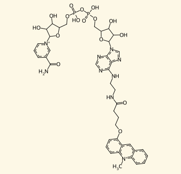 C[n+]1c2ccccc2cc2c(OCCCC(=O)NCCNc3ncnc4c3ncn4C3OC(COP(=O)(O)OP(=O)(O)OCC4OC([n+]5cccc(C(N)=O)c5)C(O)C4O)C(O)C3O)cccc21